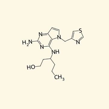 CCCC(CCO)Nc1nc(N)nc2ccn(Cc3cscn3)c12